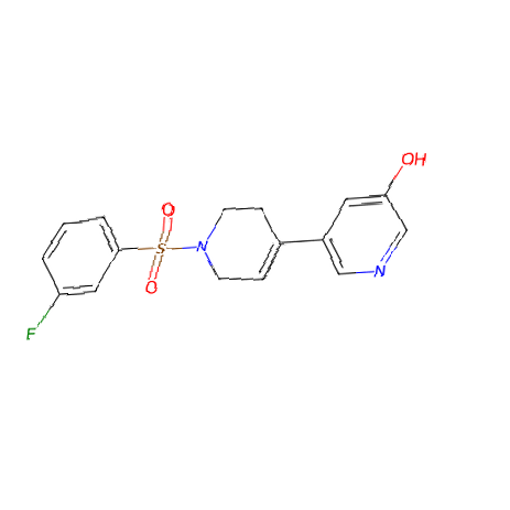 O=S(=O)(c1cccc(F)c1)N1CC=C(c2cncc(O)c2)CC1